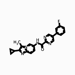 Cc1c(C2CC2)nc2ccc(NC(=O)c3ncc(-c4cccc(F)c4)cn3)cn12